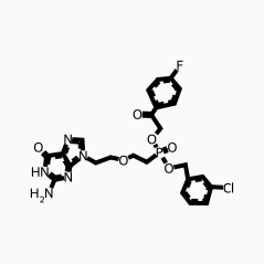 Nc1nc2c(ncn2CCOCCP(=O)(OCC(=O)c2ccc(F)cc2)OCc2cccc(Cl)c2)c(=O)[nH]1